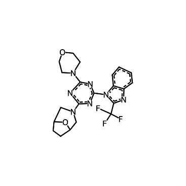 FC(F)(F)c1nc2ccccc2n1-c1nc(N2CCOCC2)nc(N2CC3CCC(C2)O3)n1